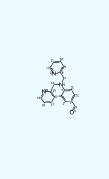 O=Cc1ccc(N(Cc2ccccn2)Cc2ccccn2)cc1